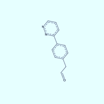 O=CCc1ccc(-c2cccnn2)cc1